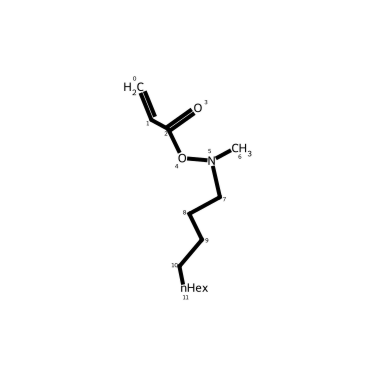 C=CC(=O)ON(C)CCCCCCCCCC